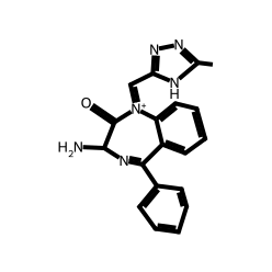 Cc1nnc(C=[N+]2C(=O)C(N)N=C(c3ccccc3)c3ccccc32)[nH]1